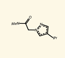 CNC(=O)Cn1cc(C(C)C)cn1